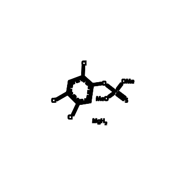 COP(=S)(OC)Oc1cc(Cl)c(Cl)cc1Cl.[MgH2]